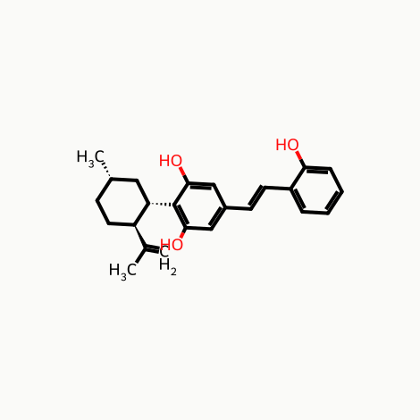 C=C(C)[C@H]1CC[C@H](C)C[C@@H]1c1c(O)cc(/C=C/c2ccccc2O)cc1O